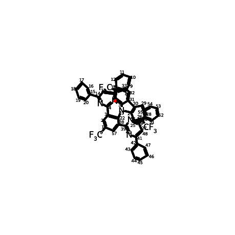 FC(F)(F)c1cc(-c2nc(-c3ccccc3)cc(-c3ccccc3)n2)c(-n2c3cc(C(F)(F)F)ccc3c3ccc(C(F)(F)F)cc32)c(-c2nc(-c3ccccc3)cc(-c3ccccc3)n2)c1